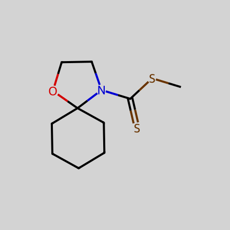 CSC(=S)N1CCOC12CCCCC2